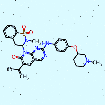 C=C(c1cc2cnc(Nc3ccc(OC4CCCN(C)C4)cc3)nc2n(C2Cc3ccccc3S(=O)(=O)N2C)c1=O)C(C)C